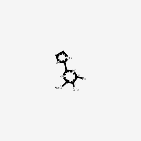 COc1nc(-c2ncco2)nc(F)c1C(F)(F)F